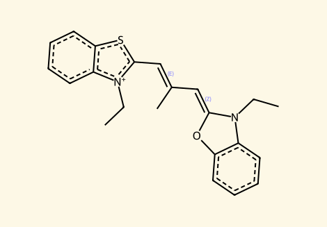 CCN1/C(=C/C(C)=C/c2sc3ccccc3[n+]2CC)Oc2ccccc21